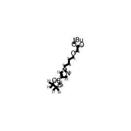 CC(C)(C)OC(=O)COCCCCn1cc(B2OC(C)(C)C(C)(C)O2)cn1